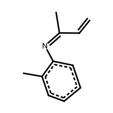 C=C/C(C)=N\c1ccccc1C